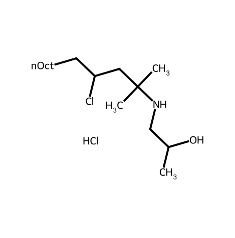 CCCCCCCCCC(Cl)CC(C)(C)NCC(C)O.Cl